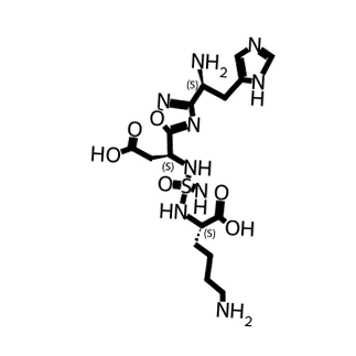 N=S(=O)(N[C@@H](CCCCN)C(=O)O)N[C@@H](CC(=O)O)c1nc([C@@H](N)Cc2cnc[nH]2)no1